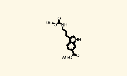 COC(=O)c1ccc2c(CCCNC(=O)OC(C)(C)C)c[nH]c2c1